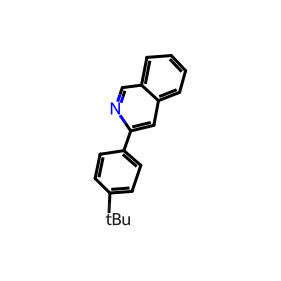 CC(C)(C)c1ccc(-c2cc3ccccc3cn2)cc1